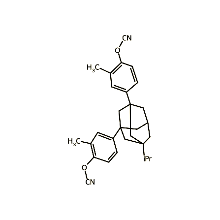 Cc1cc(C23CC4CC(c5ccc(OC#N)c(C)c5)(C2)CC(C(C)C)(C4)C3)ccc1OC#N